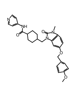 COc1ccc(COc2ccc3c(c2)n(CC2CCC(C(=O)Nc4ccncc4)CC2)c(=O)n3C)cc1